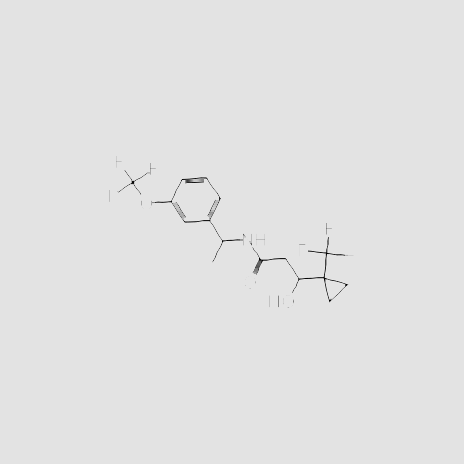 CC(NC(=O)CC(O)C1(C(F)(F)F)CC1)c1cccc(OC(F)(F)F)c1